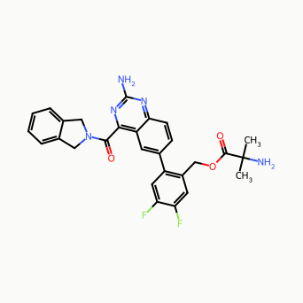 CC(C)(N)C(=O)OCc1cc(F)c(F)cc1-c1ccc2nc(N)nc(C(=O)N3Cc4ccccc4C3)c2c1